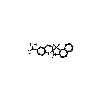 CN1c2ccc3ccccc3c2C(C)(C)C12C=Cc1cc(C(=O)O)ccc1O2